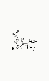 [CH2]C(CO)c1cc(Br)cc(C2CC2)c1